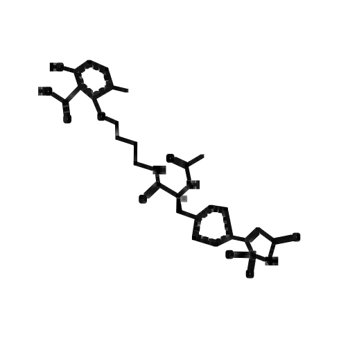 CC(=O)N[C@@H](Cc1ccc(C2=CC(=O)NS2(=O)=O)cc1)C(=O)NCCCCOc1c(C)ccc(O)c1C(=O)O